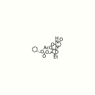 CC[C@H]1O[C@@H](n2ccc(=O)[nH]c2=O)[C@H](OC(C)=O)[C@@H]1COC(=O)OCc1ccccc1